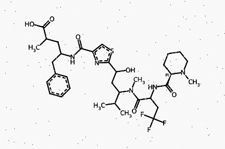 CC(CC(Cc1ccccc1)NC(=O)c1csc(C(O)CC(C(C)C)N(C)C(=O)C(CC(F)(F)F)NC(=O)[C@H]2CCCCN2C)n1)C(=O)O